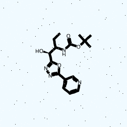 CCC(NC(=O)OC(C)(C)C)[C@H](O)c1nnc(-c2cccnc2)o1